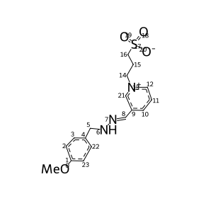 COc1ccc(CNN=Cc2ccc[n+](CCCS(=O)(=O)[O-])c2)cc1